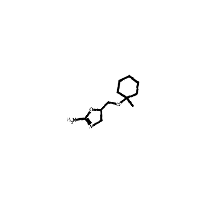 CC1(OCC2CN=C(N)O2)CCCCC1